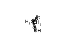 CCOCCOC(C)(C)CCCCOCCO